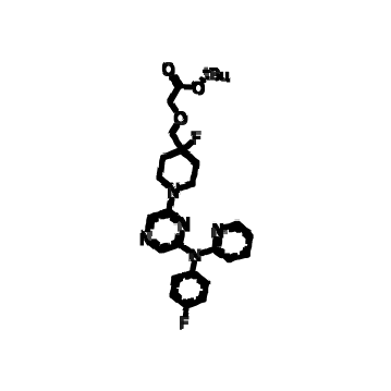 CC(C)(C)OC(=O)COCC1(F)CCN(c2cncc(N(c3ccc(F)cc3)c3ccccn3)n2)CC1